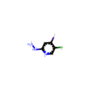 NNc1cc(I)c(Br)cn1